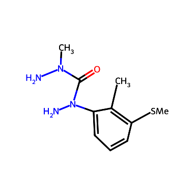 CSc1cccc(N(N)C(=O)N(C)N)c1C